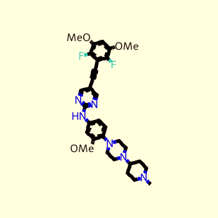 COc1cc(Nc2ncc(C#Cc3c(F)c(OC)cc(OC)c3F)cn2)ccc1N1CCN(C2CCN(C)CC2)CC1